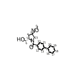 CON=C1C[C@@H](CO)N(C(=O)c2ccc(-c3ccccc3)cc2)C1